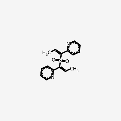 C/C=C(/c1ccccn1)S(=O)(=O)/C(=C\C)c1ccccn1